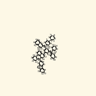 c1ccc(-c2ccc(N(c3cc(-c4ccc(N(c5ccccc5)c5ccc6c(c5)oc5ccccc56)c5ccccc45)cc(N(c4ccccc4)c4ccccc4)c3)c3ccc4ccccc4c3)cc2)cc1